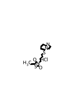 CC=C1SC(=O)N(CCCCSc2cccc3nccn23)C1=O.Cl